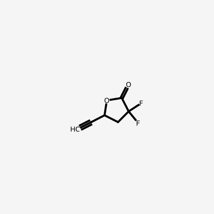 C#CC1CC(F)(F)C(=O)O1